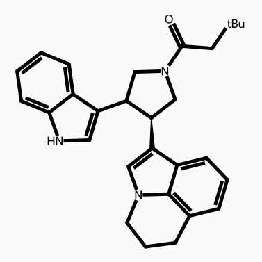 CC(C)(C)CC(=O)N1CC(c2c[nH]c3ccccc23)[C@H](c2cn3c4c(cccc24)CCC3)C1